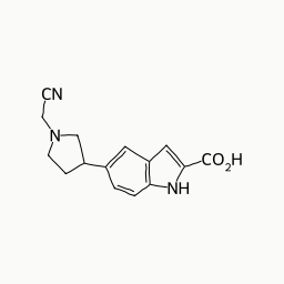 N#CCN1CCC(c2ccc3[nH]c(C(=O)O)cc3c2)C1